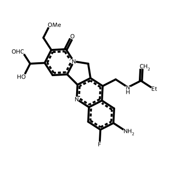 C=C(CC)NCc1c2c(nc3cc(F)c(N)cc13)-c1cc(C(O)C=O)c(COC)c(=O)n1C2